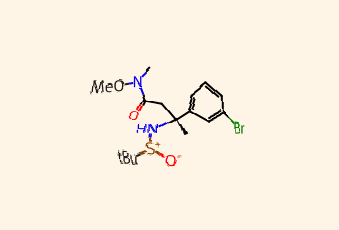 CON(C)C(=O)C[C@@](C)(N[S+]([O-])C(C)(C)C)c1cccc(Br)c1